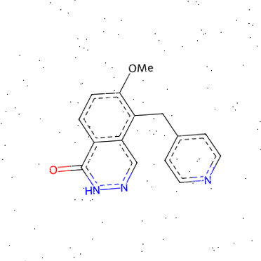 COc1ccc2c(=O)[nH]ncc2c1Cc1ccncc1